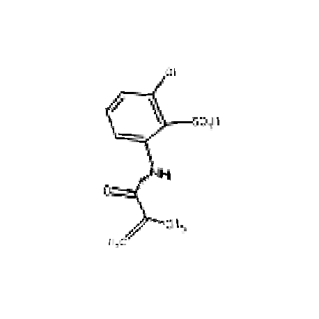 C=C(C)C(=O)Nc1cccc(O)c1S(=O)(=O)O